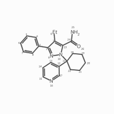 CCc1c(-c2ccccc2)nn(C2(c3cccnc3)CCCCC2)c1C(N)=O